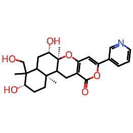 CC1(CO)C2C[C@H](O)[C@@]3(C)Oc4cc(-c5cccnc5)oc(=O)c4CC3[C@@]2(C)CC[C@@H]1O